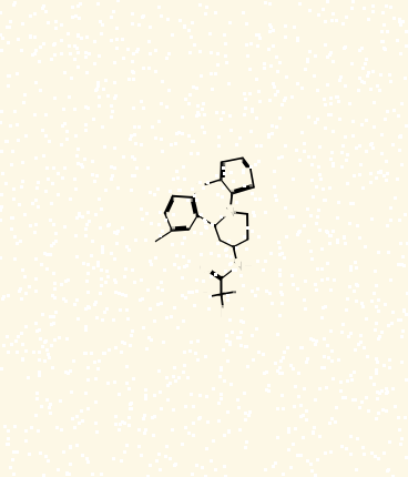 Cc1ccc2c(c1)C1CC(NC(=O)C(F)(F)F)CCN1c1ccccc1S2